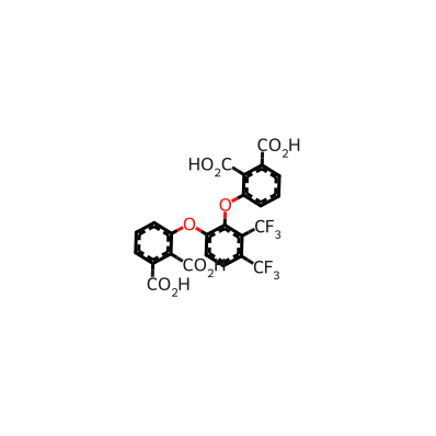 O=C(O)c1cccc(Oc2ccc(C(F)(F)F)c(C(F)(F)F)c2Oc2cccc(C(=O)O)c2C(=O)O)c1C(=O)O